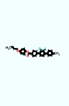 C=CCCOc1ccc(OC(=O)C2CCC(c3ccc(-c4ccc(C)cc4)c(F)c3F)CC2)c(F)c1